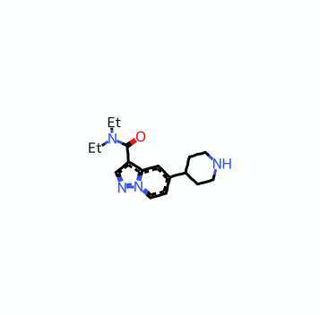 CCN(CC)C(=O)c1cnn2ccc(C3CCNCC3)cc12